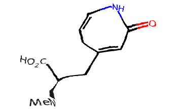 CN[C@H](Cc1cc[nH]c(=O)c1)C(=O)O